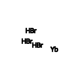 Br.Br.Br.[Yb]